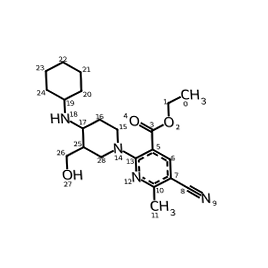 CCOC(=O)c1cc(C#N)c(C)nc1N1CCC(NC2CCCCC2)C(CO)C1